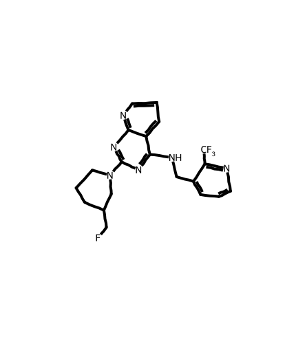 FCC1CCCN(c2nc(NCc3cccnc3C(F)(F)F)c3cccnc3n2)C1